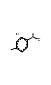 Cc1ccc(NCl)cc1.F